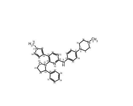 CN1CCN(c2ccc(Nc3ncc(-c4cnn(C)c4)c(N4OCCC4c4ccccc4)n3)cc2)CC1